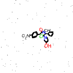 CN(C(=O)C(Cl)c1ccc([N+](=O)[O-])cc1)C(CN1CCC(O)C1)c1ccccc1